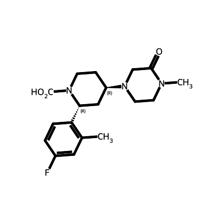 Cc1cc(F)ccc1[C@H]1C[C@H](N2CCN(C)C(=O)C2)CCN1C(=O)O